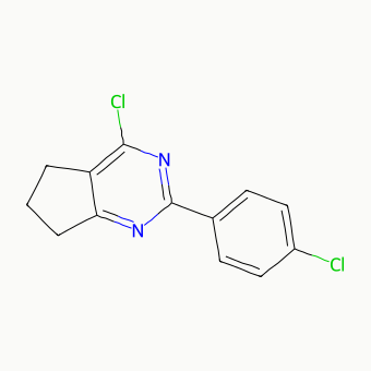 Clc1ccc(-c2nc(Cl)c3c(n2)CCC3)cc1